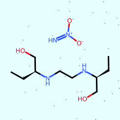 CC[C@@H](CO)NCCN[C@@H](CC)CO.N=[N+]([O-])[O-]